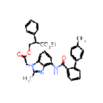 CCOC(=O)C(COC(=O)Cn1c(C)nc2c(NC(=O)c3ccccc3-c3ccc(C(F)(F)F)cc3)cccc21)c1ccccc1